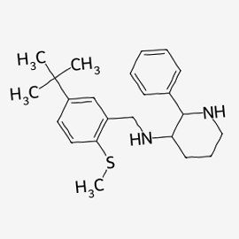 CSc1ccc(C(C)(C)C)cc1CNC1CCCNC1c1ccccc1